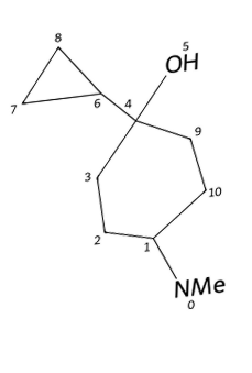 CNC1CCC(O)(C2CC2)CC1